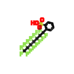 O=S(=O)(O)c1ccccc1C(F)(F)C(F)(F)C(F)(F)C(F)(F)C(F)(F)C(F)(F)C(F)(F)F